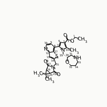 CCOC(=O)c1cc(-c2ccnc3cc(CN4C(=O)C5C(C4=O)C5(C)C)sc23)n(C[C@@H]2CNCCCO2)c1C